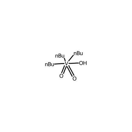 CCC[CH2][V](=[O])(=[O])([OH])([CH2]CCC)[CH2]CCC